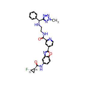 Cn1nnc(C(NCCNC(=O)c2cc(-c3nc4cc(NC(=O)[C@H]5C[C@@H]5F)ccc4o3)ccn2)c2ccccc2)n1